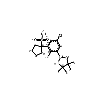 CC1(C)OB(c2cc(Cl)cc(C3(S(N)(=O)=O)CCCC3)c2F)OC1(C)C